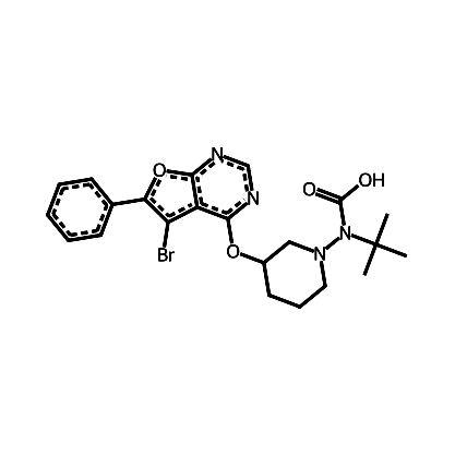 CC(C)(C)N(C(=O)O)N1CCCC(Oc2ncnc3oc(-c4ccccc4)c(Br)c23)C1